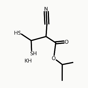 CC(C)OC(=O)C(C#N)C(S)S.[KH]